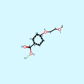 COCCOc1ccc(C(=O)OF)cc1